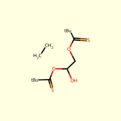 CC(C)(C)C(=S)OCC(O)OC(=S)C(C)(C)C.[CH2][CH2]